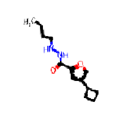 CCCCNNC(=O)c1cc(C2CCC2)co1